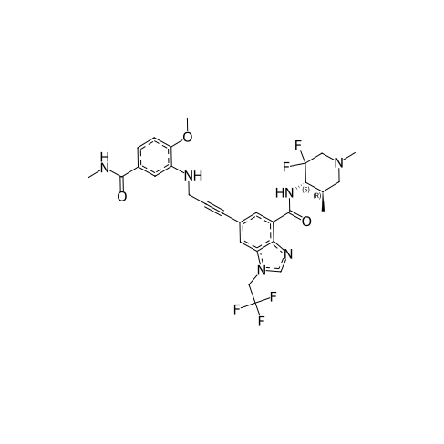 CNC(=O)c1ccc(OC)c(NCC#Cc2cc(C(=O)N[C@H]3[C@H](C)CN(C)CC3(F)F)c3ncn(CC(F)(F)F)c3c2)c1